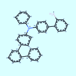 Bc1ccccc1-c1ccc(N(c2ccccc2)c2ccc(-c3ccccc3-c3ccccc3)cc2)cc1